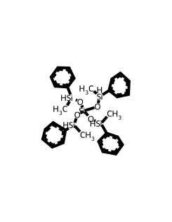 C[SiH](O[Si](O[SiH](C)c1ccccc1)(O[SiH](C)c1ccccc1)O[SiH](C)c1ccccc1)c1ccccc1